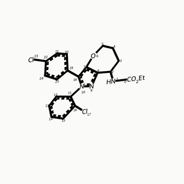 CCOC(=O)NC1CCCOc2c1nn(-c1ccccc1Cl)c2-c1ccc(Cl)cc1